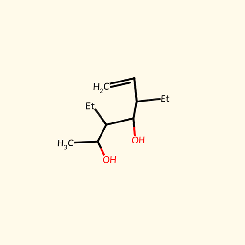 C=CC(CC)C(O)C(CC)C(C)O